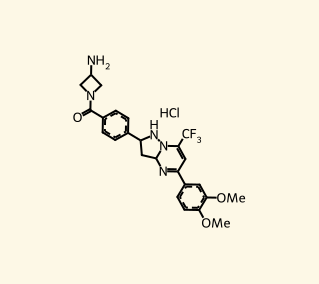 COc1ccc(C2=NC3CC(c4ccc(C(=O)N5CC(N)C5)cc4)NN3C(C(F)(F)F)=C2)cc1OC.Cl